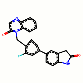 O=C1Cc2cc(-c3ccc(Cn4c(=O)cnc5ccccc54)c(F)c3)ccc2N1